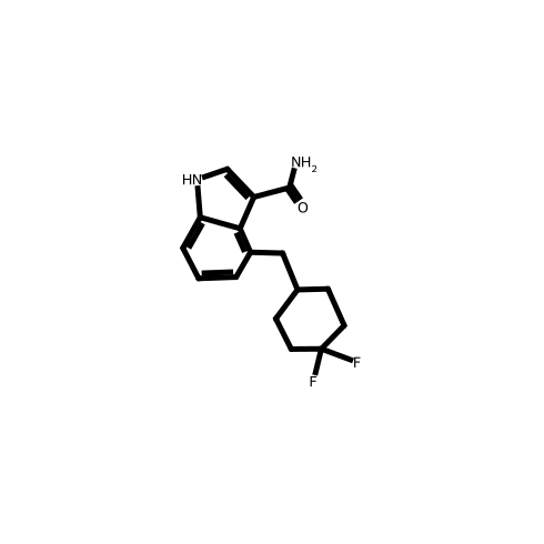 NC(=O)c1c[nH]c2cccc(CC3CCC(F)(F)CC3)c12